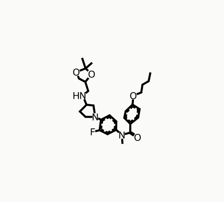 CCCCOc1ccc(C(=O)N(C)c2ccc(N3CCC(NCC4COC(C)(C)O4)C3)c(F)c2)cc1